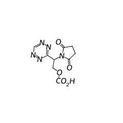 O=C(O)OCC(c1nncnn1)N1C(=O)CCC1=O